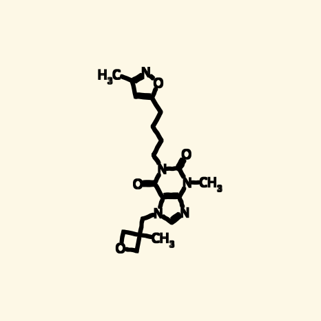 Cc1cc(CCCCn2c(=O)c3c(ncn3CC3(C)COC3)n(C)c2=O)on1